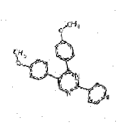 COc1ccc(-c2cnc(-c3ccncc3)nc2-c2ccc(OC)cc2)cc1